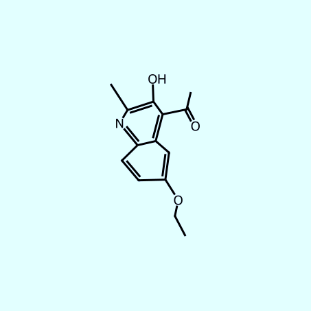 CCOc1ccc2nc(C)c(O)c(C(C)=O)c2c1